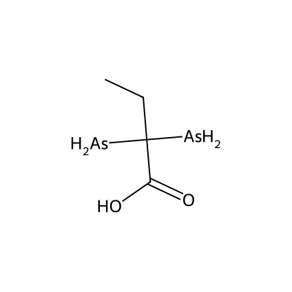 CCC([AsH2])([AsH2])C(=O)O